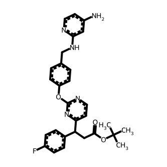 CC(C)(C)OC(=O)CC(c1ccc(F)cc1)c1ccnc(Oc2ccc(CNc3cc(N)ccn3)cc2)n1